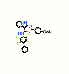 COc1ccc(COc2nn3ccccc3c2C(=O)Nc2c(F)c(F)c(-c3ccccc3)c(F)c2F)cc1